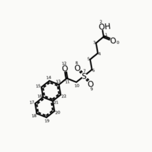 O=C(O)CCCCS(=O)(=O)CC(=O)c1ccc2ccccc2c1